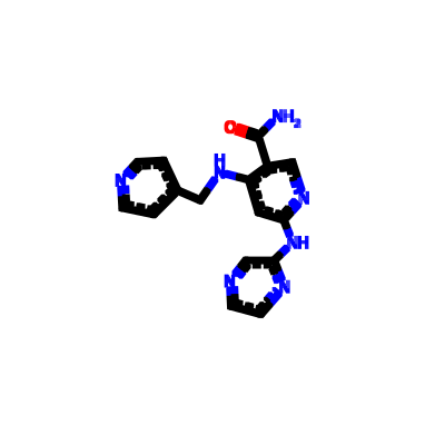 NC(=O)c1cnc(Nc2cnccn2)cc1NCc1ccncc1